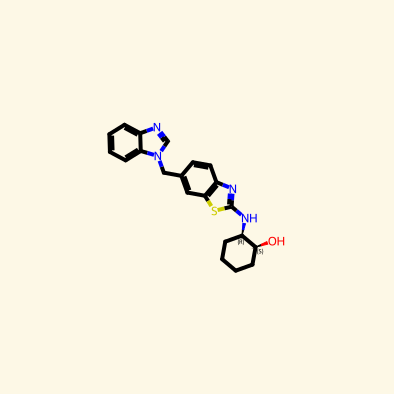 O[C@H]1CCCC[C@H]1Nc1nc2ccc(Cn3cnc4ccccc43)cc2s1